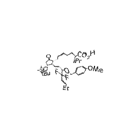 CC/C=C/C(F)(F)C(/C=C/[C@H]1[C@H](O[Si](C)(C)C(C)(C)C)CC(=O)[C@@H]1C/C=C\CCC(C(=O)O)C(C)C)OCc1ccc(OC)cc1